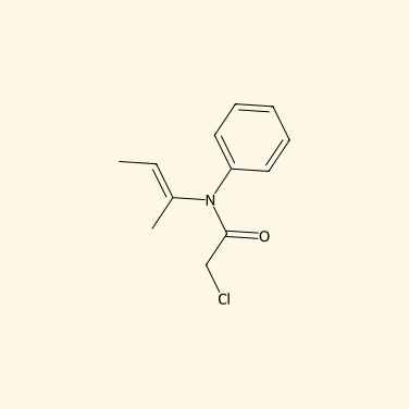 CC=C(C)N(C(=O)CCl)c1ccccc1